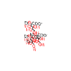 CCOC(C(=O)[O-])C(O)C(O)C(O)CO.CCOC(C(=O)[O-])C(O)C(O)C(O)CO.CCOC(C(=O)[O-])C(O)C(O)C(O)CO.[Cr+3]